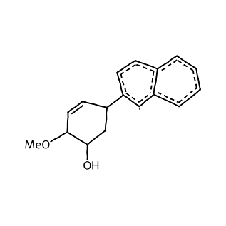 COC1C=CC(c2[c]c3ccccc3cc2)CC1O